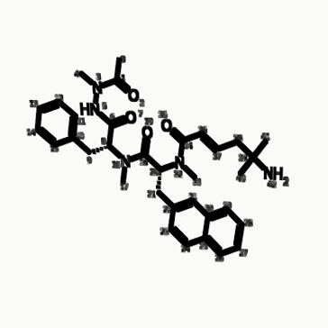 CC(=O)N(C)NC(=O)[C@@H](Cc1ccccc1)N(C)C(=O)[C@@H](Cc1ccc2ccccc2c1)N(C)C(=O)/C=C/CC(C)(C)N